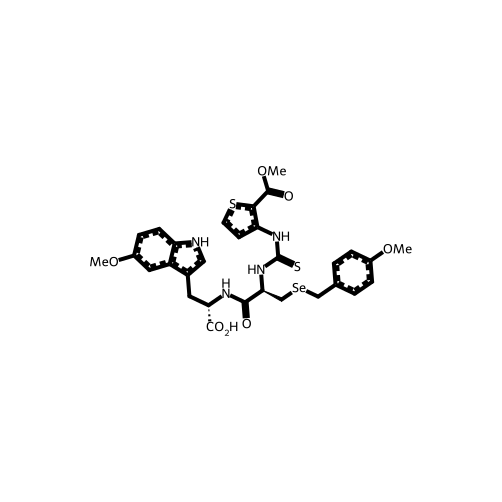 COC(=O)c1sccc1NC(=S)N[C@@H](C[Se]Cc1ccc(OC)cc1)C(=O)N[C@@H](Cc1c[nH]c2ccc(OC)cc12)C(=O)O